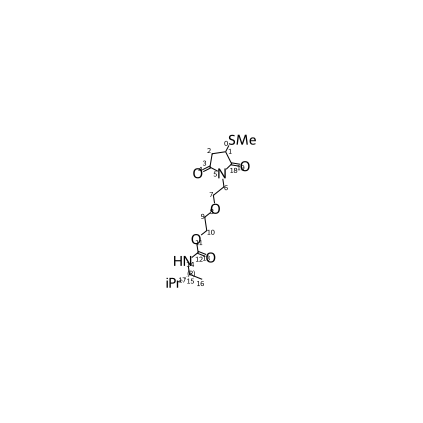 CSC1CC(=O)N(CCOCCOC(=O)N[C@H](C)C(C)C)C1=O